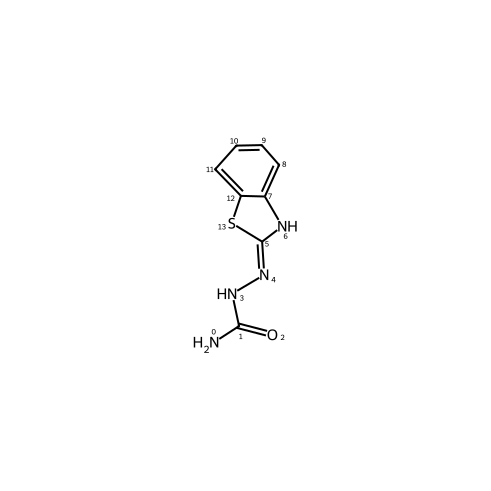 NC(=O)NN=c1[nH]c2ccccc2s1